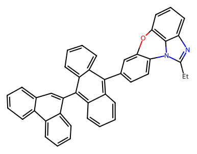 CCc1nc2cccc3c2n1-c1ccc(-c2c4ccccc4c(-c4cc5ccccc5c5ccccc45)c4ccccc24)cc1O3